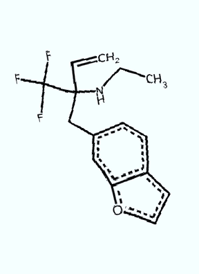 C=CC(Cc1ccc2ccoc2c1)(NCC)C(F)(F)F